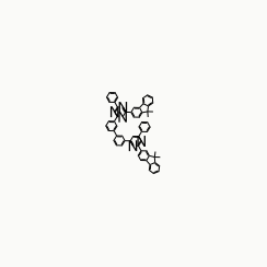 CC1(C)c2ccccc2-c2cc(-c3nc(-c4ccccc4)nc(-c4cccc(-c5cccc(-c6cc(-c7ccccc7)nc(-c7ccc8c(c7)C(C)(C)c7ccccc7-8)n6)c5)c4)n3)ccc21